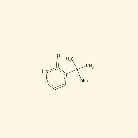 CCCCC(C)(C)c1ccc[nH]c1=O